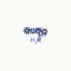 NCCNc1cc(N2CCN(c3ncccn3)CC2)nnc1-c1ccccc1